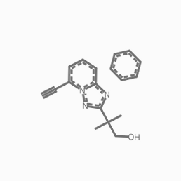 C#Cc1cccc2nc(C(C)(C)CO)nn12.c1ccccc1